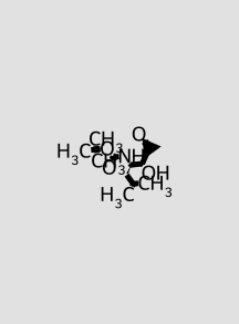 CC(C)C[C@H](NC(=O)OC(C)(C)C)C(O)c1cc1=O